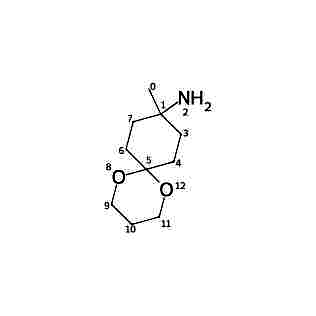 CC1(N)CCC2(CC1)OCCCO2